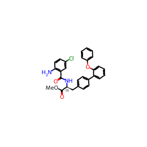 COC(=O)[C@H](Cc1ccc(-c2ccccc2Oc2ccccc2)cc1)NC(=O)c1cc(Cl)ccc1N